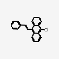 Clc1c2ccccc2c(/C=C/c2ccccc2)c2ccccc12